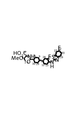 CO[C@@H](C)[C@H](NC(=O)c1ccc(-c2ccc(Nc3nc4ccc(F)cc4s3)c(F)c2)cc1)C(=O)O